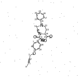 CC#CCOc1ccc(S(=O)(=O)N2CCN(c3ccccc3)CCC2C(=O)O)cc1